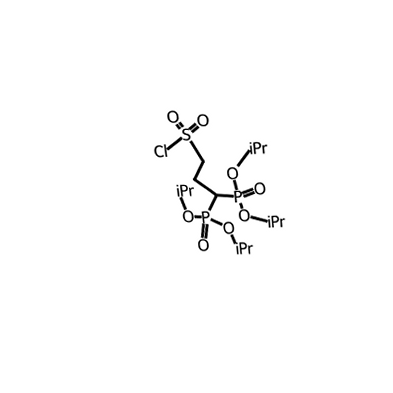 CC(C)OP(=O)(OC(C)C)C(CCS(=O)(=O)Cl)P(=O)(OC(C)C)OC(C)C